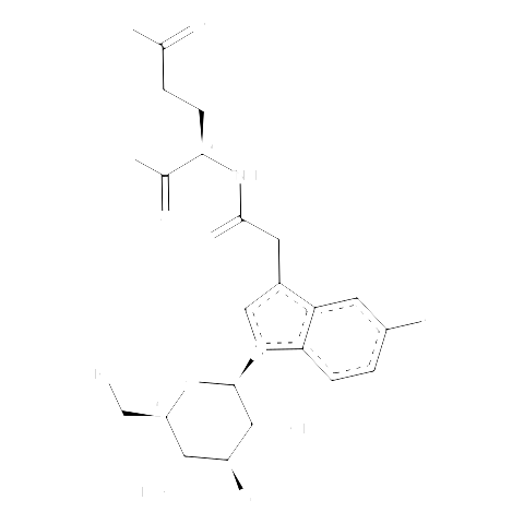 O=C(O)CC[C@@H](NC(=O)Cc1cn([C@@H]2O[C@H](CO)[C@@H](O)[C@H](O)[C@H]2O)c2ccc(Cl)cc12)C(=O)O